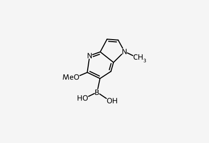 COc1nc2ccn(C)c2cc1B(O)O